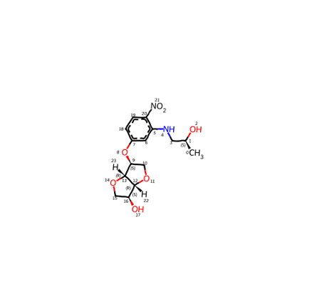 C[C@H](O)CNc1cc(O[C@H]2CO[C@H]3[C@@H]2OC[C@@H]3O)ccc1[N+](=O)[O-]